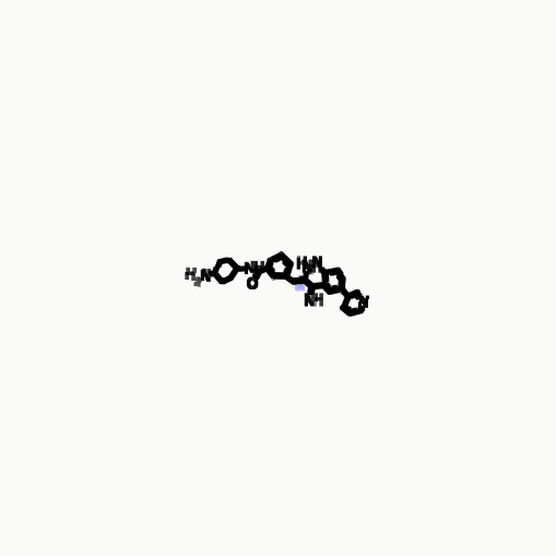 N=C(/C(N)=C/c1cccc(C(=O)NC2CCC(N)CC2)c1)c1cc(-c2cccnc2)ccc1N